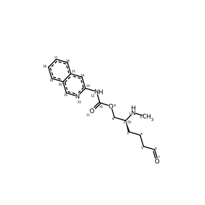 CN[C@@H](CCCC=O)COC(=O)Nc1cc2ccccc2cn1